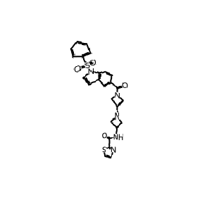 O=C(NC1CN(C2CN(C(=O)c3ccc4c(ccn4S(=O)(=O)c4ccccc4)c3)C2)C1)c1nccs1